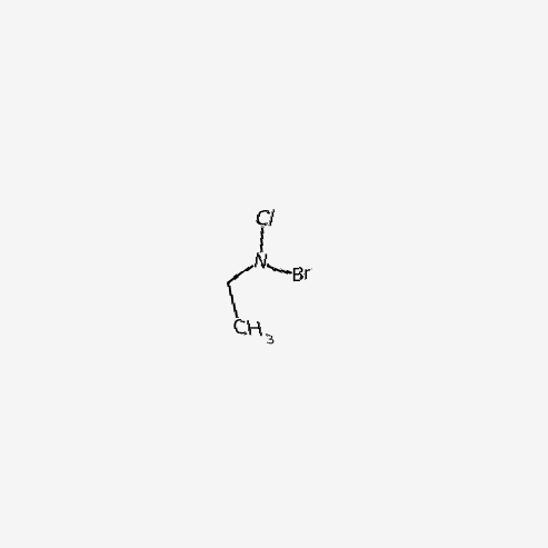 CCN(Cl)Br